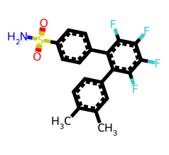 Cc1ccc(-c2c(F)c(F)c(F)c(F)c2-c2ccc(S(N)(=O)=O)cc2)cc1C